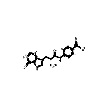 O.O=C(CCN1CNc2c1nc[nH]c2=O)Nc1ccc(C(=O)O)cc1